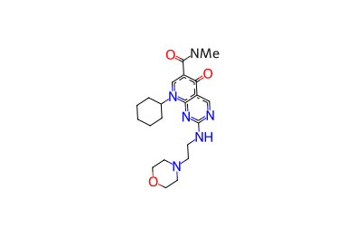 CNC(=O)c1cn(C2CCCCC2)c2nc(NCCN3CCOCC3)ncc2c1=O